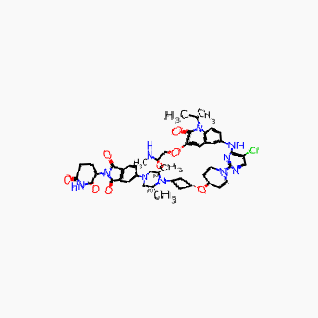 CNC(=O)COc1cc2cc(Nc3nc(N4CCC(O[C@H]5C[C@H](N6[C@H](C)CN(c7ccc8c(c7)C(=O)N(C7CCC(=O)NC7=O)C8=O)C[C@H]6C)C5)CC4)ncc3Cl)ccc2n(C(C)C)c1=O